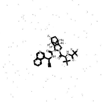 C#CC(NC(=O)[C@@H]1[C@@H]2[C@H](CN1C(=O)[C@@H](NC(=O)C(F)(F)F)C(C)(C)C)[C@H]1C[C@@H]2[C@H](F)C1)c1cncc2ccccc12